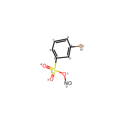 O=NOS(=O)(=O)c1cccc(Br)c1